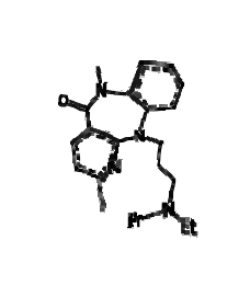 CCN(CCCN1c2ccccc2N(C)C(=O)c2ccc(C)nc21)C(C)C